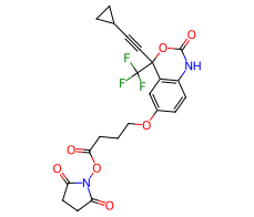 O=C(CCCOc1ccc2c(c1)C(C#CC1CC1)(C(F)(F)F)OC(=O)N2)ON1C(=O)CCC1=O